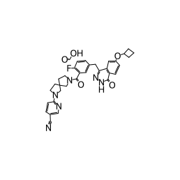 N#Cc1ccc(N2CCC3(CCN(C(=O)c4cc(Cc5n[nH]c(=O)c6ccc(OC7CCC7)cc56)ccc4F)C3)C2)nc1.O=CO